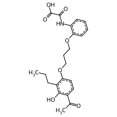 CCCc1c(OCCCOc2ccccc2NC(=O)C(=O)O)ccc(C(C)=O)c1O